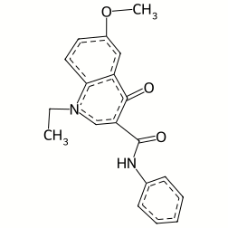 CCn1cc(C(=O)Nc2ccccc2)c(=O)c2cc(OC)ccc21